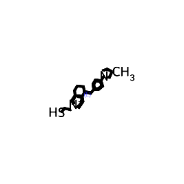 CC1CCN(c2ccc(/C=C3\CCCc4c[n+](CCS)ccc43)cc2)C1